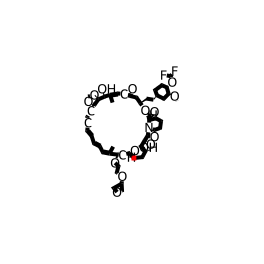 CO[C@@H]1C[C@H](CC[C@@H]2CC(=O)C/C=C(\C)[C@@H](O)[C@@H](OC)C(=O)CCC/C=C/C=C/C=C(\C)[C@H](OCCOC3COC3)C[C@@H]3CC[C@@H](C)[C@@](O)(O3)C(=O)C(=O)N3CCCC[C@H]3C(=O)O2)CC[C@H]1OC(F)F